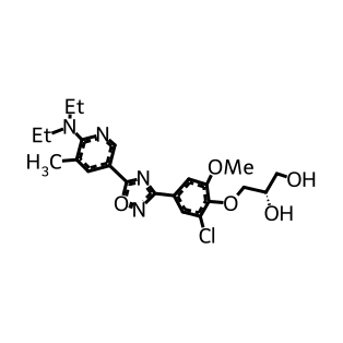 CCN(CC)c1ncc(-c2nc(-c3cc(Cl)c(OC[C@@H](O)CO)c(OC)c3)no2)cc1C